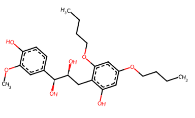 CCCCOc1cc(O)c(C[C@H](O)[C@@H](O)c2ccc(O)c(OC)c2)c(OCCCC)c1